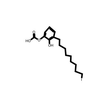 O=C(O)Oc1cccc(CCCCCCCCCI)c1O